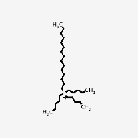 CCCCCCCCCCCCCCC[PH](CCCCC)(CCCCC)CCCCC